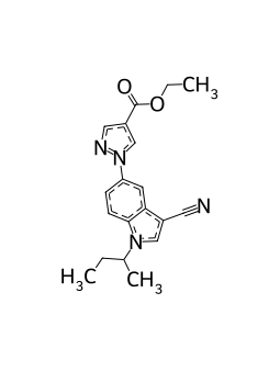 CCOC(=O)c1cnn(-c2ccc3c(c2)c(C#N)cn3C(C)CC)c1